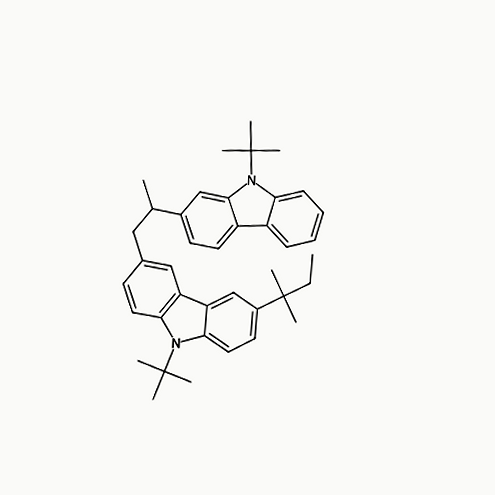 CCC(C)(C)c1ccc2c(c1)c1cc(CC(C)c3ccc4c5ccccc5n(C(C)(C)C)c4c3)ccc1n2C(C)(C)C